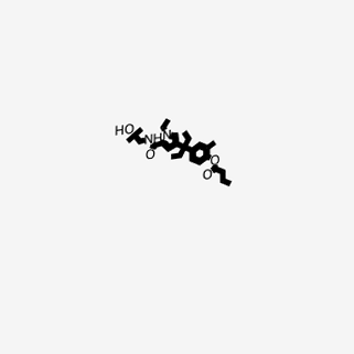 CCCC(=O)Oc1ccc(C(CC)(CC)c2cc(C(=O)NCC(C)(C)O)n(CC)c2)cc1C